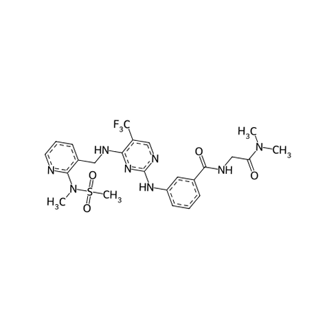 CN(C)C(=O)CNC(=O)c1cccc(Nc2ncc(C(F)(F)F)c(NCc3cccnc3N(C)S(C)(=O)=O)n2)c1